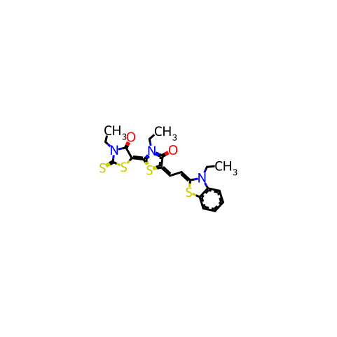 CCN1C(=O)/C(=c2/s/c(=C/C=C3\Sc4ccccc4N3CC)c(=O)n2CC)SC1=S